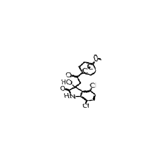 COC12CCC(C(=O)CC3(O)C(=O)Nc4c(Cl)ccc(Cl)c43)(CC1)CC2